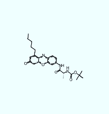 CCCCCc1cc(=O)cc2oc3cc(NC(=O)[C@@H](C)NC(=O)OC(C)(C)C)ccc3nc1-2